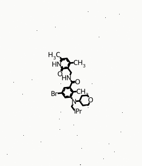 Cc1cc(C)c(CNC(=O)c2cc(Br)cc(N(CC(C)C)C3CCOCC3)c2C)c(=O)[nH]1